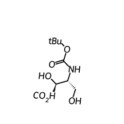 CC(C)(C)OC(=O)N[C@H](CO)[C@H](O)C(=O)O